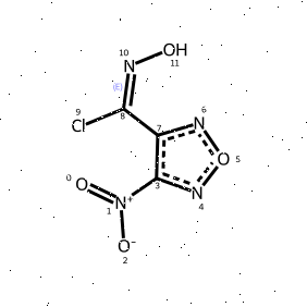 O=[N+]([O-])c1nonc1/C(Cl)=N\O